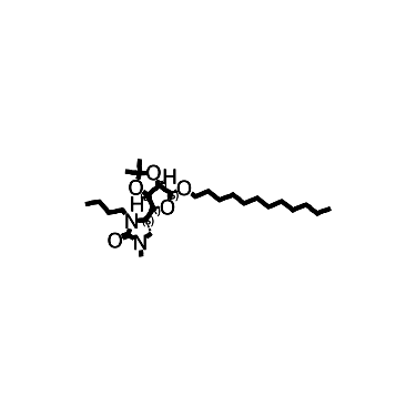 CCCCCCCCCCCCO[C@H]1O[C@H]([C@@H]2CN(C)C(=O)N2CCCC)[C@@H]2OC(C)(C)O[C@H]12